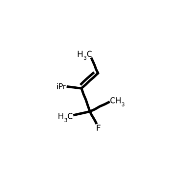 C/C=C(\C(C)C)C(C)(C)F